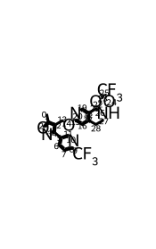 Cc1onc(-c2ccc(C(F)(F)F)nc2)c1COc1cc2c(cn1)C(OC(=O)C(F)(F)F)NCC2